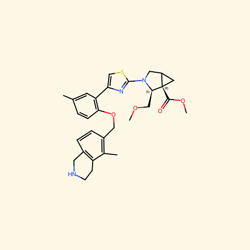 COC[C@H]1N(c2nc(-c3cc(C)ccc3OCc3ccc4c(c3C)CCNC4)cs2)CC2C[C@@]21C(=O)OC